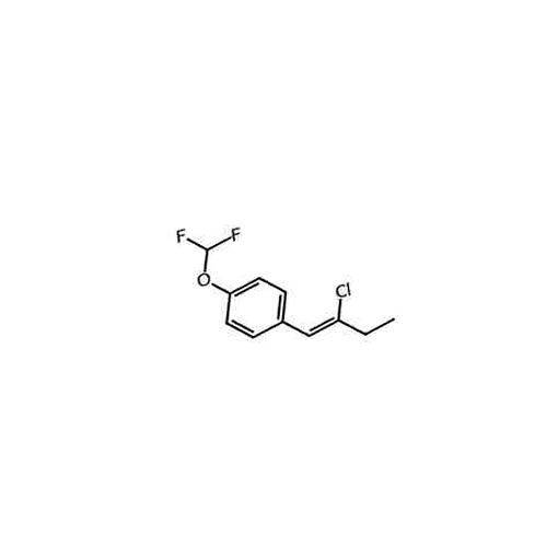 CC/C(Cl)=C/c1ccc(OC(F)F)cc1